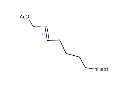 CCCCCCCCCCC/C=C/COC(C)=O